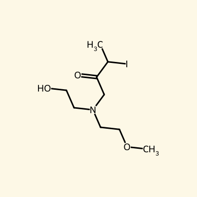 COCCN(CCO)CC(=O)C(C)I